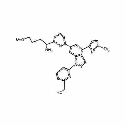 COCCCC(N)c1cccc(-c2cc(-c3ccn(C)n3)c3cnn(-c4cccc(CO)n4)c3c2)n1